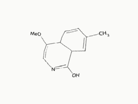 COC1=CN=C(O)C2C=C(C)C=CC12